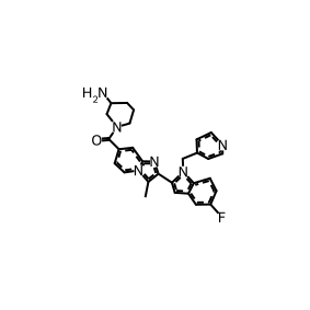 Cc1c(-c2cc3cc(F)ccc3n2Cc2ccncc2)nc2cc(C(=O)N3CCCC(N)C3)ccn12